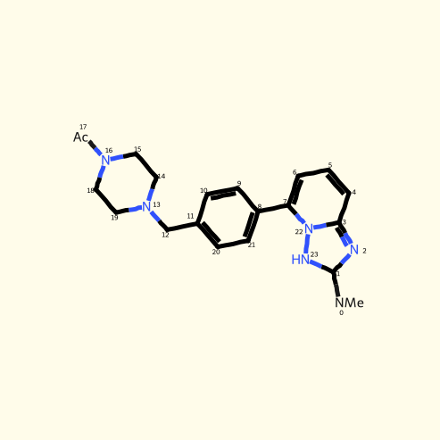 CNC1N=C2C=CC=C(c3ccc(CN4CCN(C(C)=O)CC4)cc3)N2N1